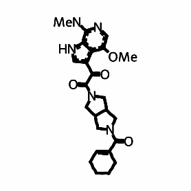 CNc1ncc(OC)c2c(C(=O)C(=O)N3CC4CN(C(=O)C5=CCCCC5)CC4C3)c[nH]c12